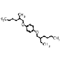 CCCCC(C)COc1ccc(OCC(CC)CCCC)cc1